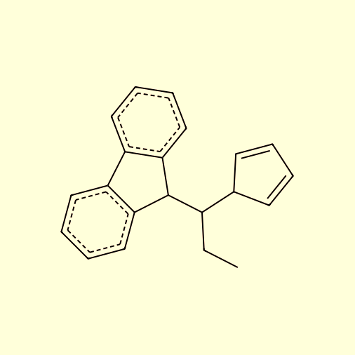 CCC(C1C=CC=C1)C1c2ccccc2-c2ccccc21